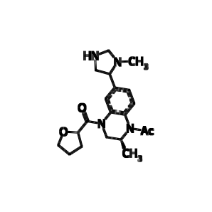 CC(=O)N1c2ccc(C3CNCN3C)cc2N(C(=O)C2CCCO2)C[C@@H]1C